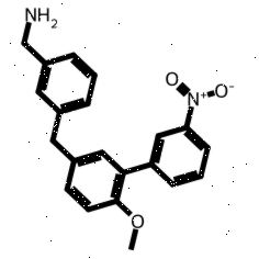 COc1ccc(Cc2cccc(CN)c2)cc1-c1cccc([N+](=O)[O-])c1